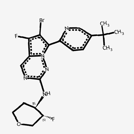 CC(C)(C)c1ccc(-c2c(Br)c(F)c3cnc(N[C@@H]4CCOC[C@H]4F)nn23)nc1